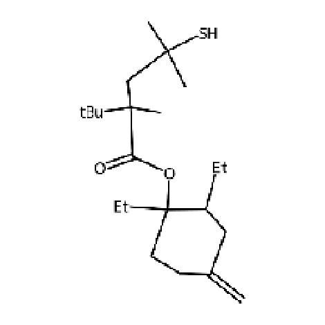 C=C1CCC(CC)(OC(=O)C(C)(CC(C)(C)S)C(C)(C)C)C(CC)C1